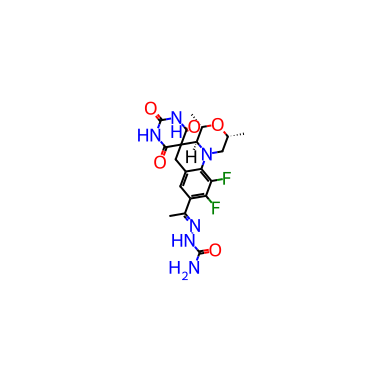 C/C(=N\NC(N)=O)c1cc2c(c(F)c1F)N1C[C@@H](C)O[C@@H](C)[C@@H]1C1(C2)C(=O)NC(=O)NC1=O